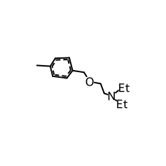 CCN(CC)CCOCc1ccc(C)cc1